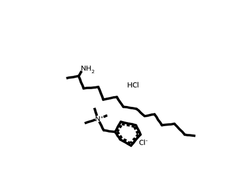 CCCCCCCCCCCCC(C)N.C[N+](C)(C)Cc1ccccc1.Cl.[Cl-]